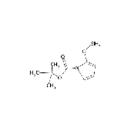 CC(C)(C)OC(=O)n1cccc1O[SiH3]